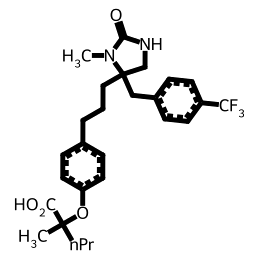 CCCC(C)(Oc1ccc(CCCC2(Cc3ccc(C(F)(F)F)cc3)CNC(=O)N2C)cc1)C(=O)O